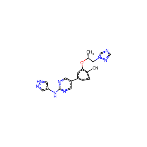 C[C@@H](Cn1cncn1)Oc1cc(-c2cnc(Nc3cn[nH]c3)nc2)ccc1C#N